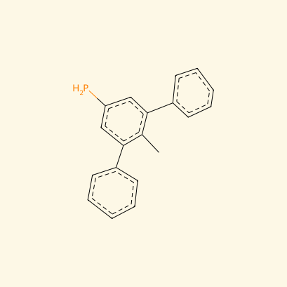 Cc1c(-c2ccccc2)cc(P)cc1-c1ccccc1